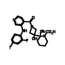 CC(C)(C)[C@]1(C2(O)CN(C(=O)c3ccncc3Nc3ccc(I)cc3F)C2)CCCCN1C(=O)O